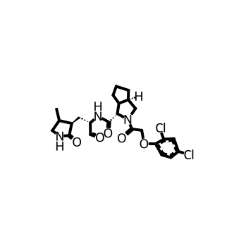 CC1CNC(=O)[C@@H]1C[C@@H](C=O)NC(=O)[C@@H]1C2CCC[C@H]2CN1C(=O)COc1ccc(Cl)cc1Cl